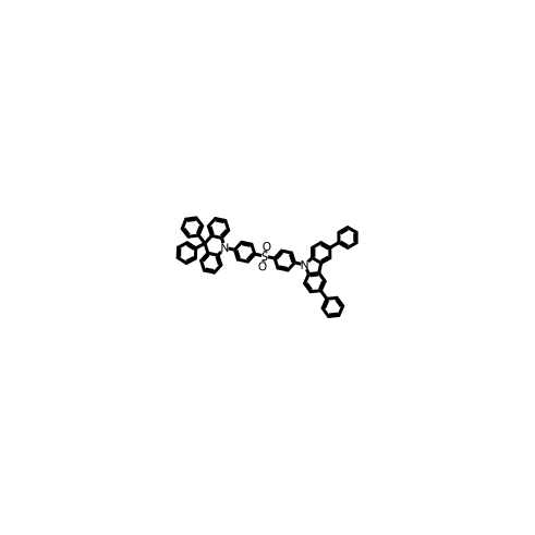 O=S(=O)(c1ccc(N2c3ccccc3C(c3ccccc3)(c3ccccc3)c3ccccc32)cc1)c1ccc(-n2c3ccc(-c4ccccc4)cc3c3cc(-c4ccccc4)ccc32)cc1